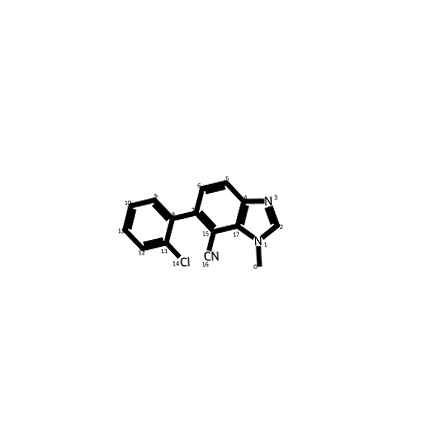 Cn1cnc2ccc(-c3ccccc3Cl)c(C#N)c21